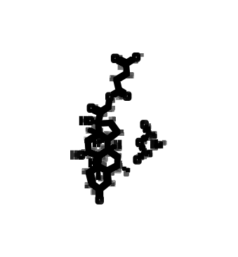 C[C@H]1C[C@@H]2[C@H]([C@@H](O)C[C@@]3(C)[C@H]2CC[C@]3(O)C(=O)COC(=O)CCC(=O)[O-])[C@@]2(C)C=CC(=O)C=C12.O=[As]O[As]=O.[Na+]